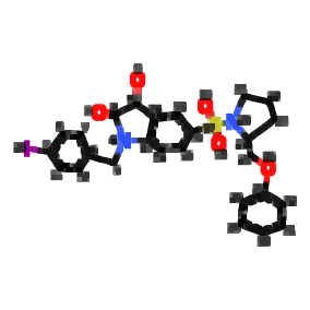 O=C1C(=O)N(Cc2ccc(I)cc2)c2ccc(S(=O)(=O)N3CCCC3COc3ccccc3)cc21